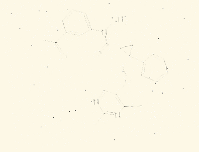 CC(=O)c1cccc(N(N)C(=O)[C@@H]2C[C@@]2(COc2cnc(C)nc2C)c2ccccc2)c1